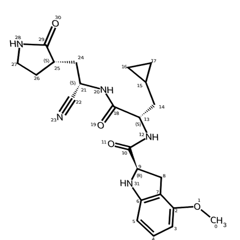 COc1cccc2c1C[C@H](C(=O)N[C@@H](CC1CC1)C(=O)N[C@H](C#N)C[C@@H]1CCNC1=O)N2